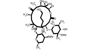 CC[C@H]1OC(=O)[C@H](C)[C@@H](O[C@H]2C[C@@](C)(OC)[C@@H](O)[C@H](C)O2)[C@H](C)[C@@H](O[C@@H]2O[C@H](C)C[C@H](NC)[C@H]2OCCCCO)[C@@](C)(OC)C[C@@H](C)C(=O)[C@H](C)[C@@H](O)[C@]1(C)O